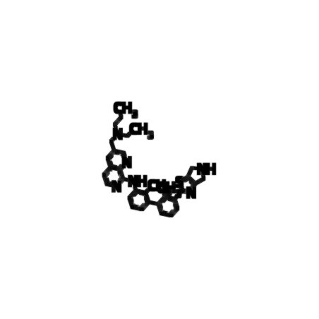 CCCN(CC)Cc1cnc2c(Nc3cccc(-c4cccc(-c5nc6c(s5)CNC6)c4C)c3C)nccc2c1